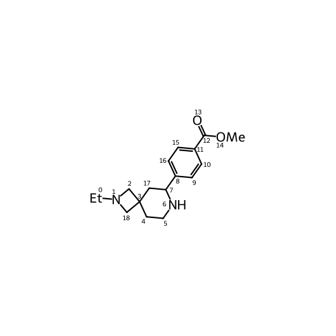 CCN1CC2(CCNC(c3ccc(C(=O)OC)cc3)C2)C1